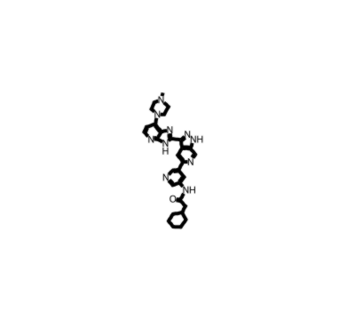 CN1CCN(c2ccnc3[nH]c(-c4n[nH]c5cnc(-c6cncc(NC(=O)CC7CCCCC7)c6)cc45)nc23)CC1